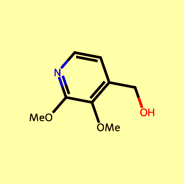 COc1nccc(CO)c1OC